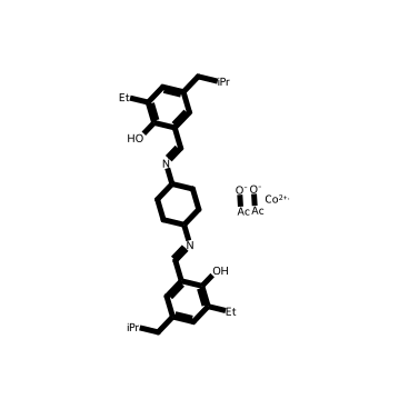 CC(=O)[O-].CC(=O)[O-].CCc1cc(CC(C)C)cc(C=NC2CCC(N=Cc3cc(CC(C)C)cc(CC)c3O)CC2)c1O.[Co+2]